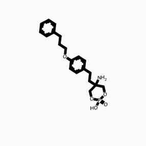 NC1(CCc2ccc(OCCCc3ccccc3)cc2)COP(=O)(O)OC1